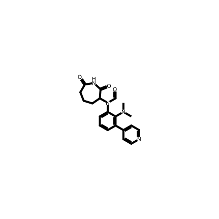 CN(C)c1c(-c2ccncc2)cccc1N(C=O)C1CCCC(=O)NC1=O